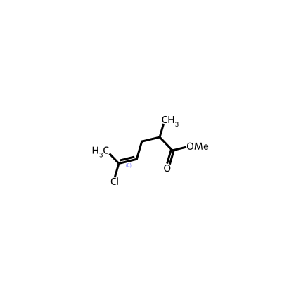 COC(=O)C(C)C/C=C(\C)Cl